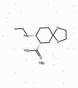 Br.CCN[C@@H]1CCC2(C[C@@H]1C(=O)O)OCCO2